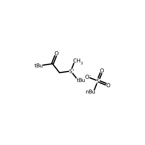 CCCCS(=O)(=O)[O-].C[S+](CC(=O)C(C)(C)C)C(C)(C)C